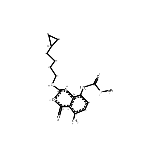 CCCOC(=O)Nc1ccc(C)c2c(=O)oc(OCCCCC3CC3)nc12